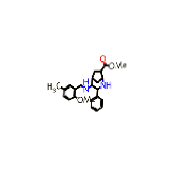 COC(=O)C1CC2CC1NC(c1ccccc1)C2NCc1cc(C)ccc1OC